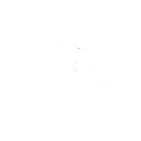 Cc1cccc2c(-c3ccccc3C(=O)O)nnc(N[C@@H]3CCCN(C)C3)c12